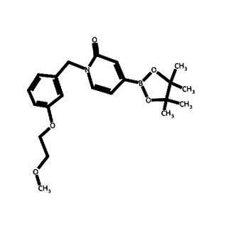 COCCOc1cccc(Cn2ccc(B3OC(C)(C)C(C)(C)O3)cc2=O)c1